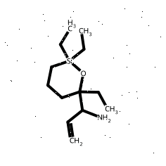 C=CC(N)C1(CC)CCC[Si](CC)(CC)O1